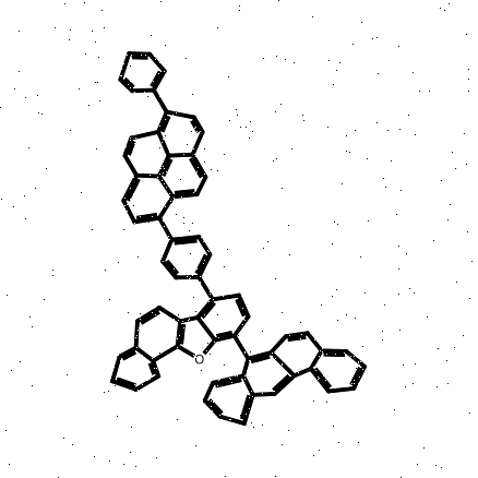 c1ccc(-c2ccc3ccc4c(-c5ccc(-c6ccc(-c7c8ccccc8cc8c7ccc7ccccc78)c7oc8c9ccccc9ccc8c67)cc5)ccc5ccc2c3c54)cc1